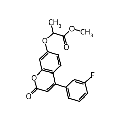 COC(=O)C(C)Oc1ccc2c(-c3cccc(F)c3)cc(=O)oc2c1